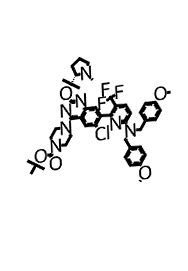 COc1ccc(CN(Cc2ccc(OC)cc2)c2ccc(C(F)(F)F)c(-c3cc4nc(OC(C)(C)[C@@H]5CCCN5C)nc(N5CCN(C(=O)OC(C)(C)C)CC5)c4cc3Cl)n2)cc1